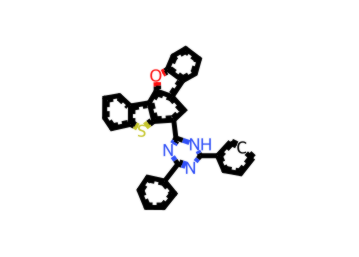 c1ccc(C2=NC(c3ccccc3)NC(c3cc4c5ccccc5oc4c4c3sc3ccccc34)=N2)cc1